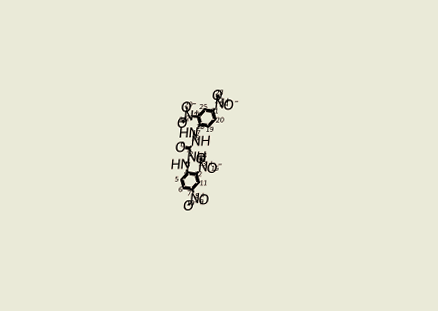 O=C(NNc1ccc([N+](=O)[O-])cc1[N+](=O)[O-])NNc1ccc([N+](=O)[O-])cc1[N+](=O)[O-]